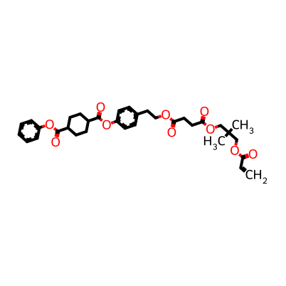 C=CC(=O)OCC(C)(C)COC(=O)CCC(=O)OCCc1ccc(OC(=O)C2CCC(C(=O)Oc3ccccc3)CC2)cc1